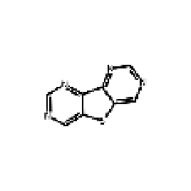 c1ncc2sc3cncnc3c2n1